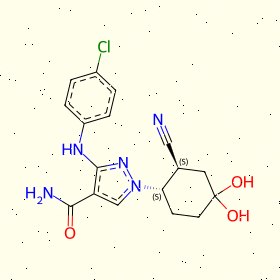 N#C[C@H]1CC(O)(O)CC[C@@H]1n1cc(C(N)=O)c(Nc2ccc(Cl)cc2)n1